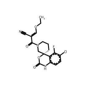 CCOC=C(C#N)C(=O)N1CCC[C@@]2(C1)OC(=O)Nc1ccc(Cl)c(F)c12